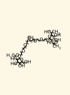 CC(=O)NC1C(OCCOCCOCCN(C)CCOCCOCCOC(OC(CO)[C@@H](C)O)[C@H](CO)NC(C)=O)OC(CO)C(O)C1O